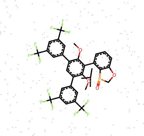 COc1c(-c2cc(C(F)(F)F)cc(C(F)(F)F)c2)cc(-c2cc(C(F)(F)F)cc(C(F)(F)F)c2)c(OC)c1-c1cccc2c1[P@](=O)(C(C)(C)C)CO2